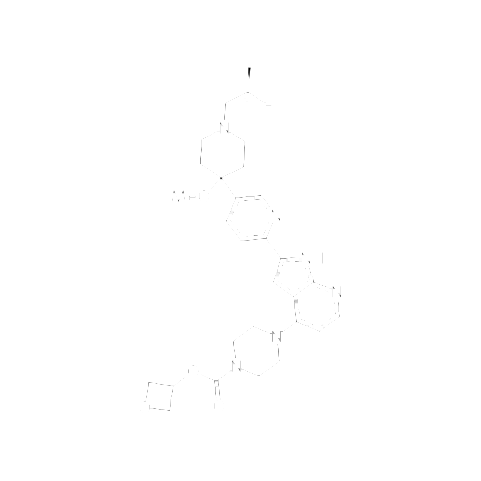 COC1(c2ccc(-c3cc4c(N5CCN(C(=O)OC6COC6)CC5)ccnc4[nH]3)nc2)CCN(C[C@@H](C)F)CC1